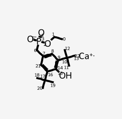 CCOP(=O)([O-])Cc1cc(C(C)(C)C)c(O)c(C(C)(C)C)c1.[Ca+]